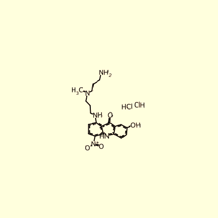 CN(CCCN)CCCNc1ccc([N+](=O)[O-])c2[nH]c3ccc(O)cc3c(=O)c12.Cl.Cl